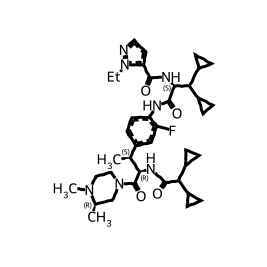 CCn1nccc1C(=O)N[C@H](C(=O)Nc1ccc([C@H](C)[C@@H](NC(=O)C(C2CC2)C2CC2)C(=O)N2CCN(C)[C@H](C)C2)cc1F)C(C1CC1)C1CC1